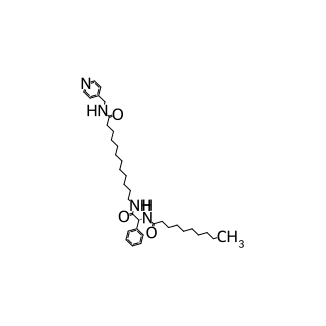 CCCCCCCCCC(=O)N[C@@H](C(=O)NCCCCCCCCCCCC(=O)NCc1ccncc1)c1ccccc1